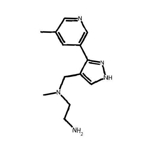 Cc1cncc(-c2n[nH]cc2CN(C)CCN)c1